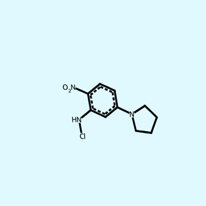 O=[N+]([O-])c1ccc(N2CCCC2)cc1NCl